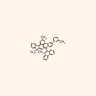 Cc1cccc(-c2ccc(N(c3ccc4c(c3)C(C)(C)c3ccccc3-4)c3cc4ccccc4c4ccccc34)c(-c3cccc(C)c3)c2)c1